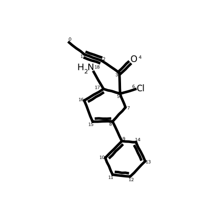 CC#CC(=O)C1(Cl)CC(c2ccccc2)=CC=C1N